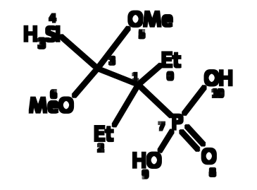 CCC(CC)(C([SiH3])(OC)OC)P(=O)(O)O